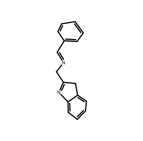 C(=N\CC1=Nc2ccccc2C1)/c1ccccc1